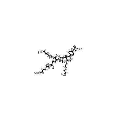 CP(=O)(S)O[C@H]1CC[C@@H](C(=O)NC(CCC(=O)NC(CCC(=O)NCCOCCO)C(=O)NCCOCCO)C(=O)NCCOCCO)CC1